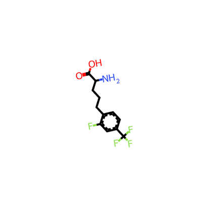 NC(CCCc1ccc(C(F)(F)F)cc1F)C(=O)O